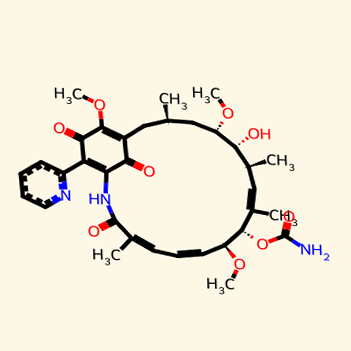 COC1=C2C[C@@H](C)C[C@H](OC)[C@H](O)[C@@H](C)C=C(C)[C@H](OC(N)=O)[C@@H](OC)C=CC=C(C)C(=O)NC(=C(c3ccccn3)C1=O)C2=O